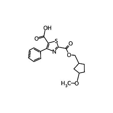 COC1CCC(COC(=O)c2nc(-c3ccccc3)c(C(=O)O)s2)C1